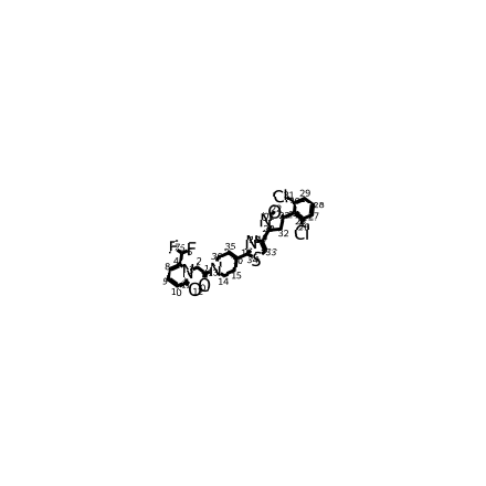 O=C(Cn1c(C(F)F)cccc1=O)N1CCC(c2nc(C3=NOC(c4c(Cl)cccc4Cl)C3)cs2)CC1